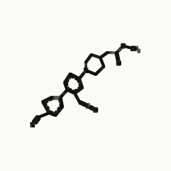 COC(=O)CC1CCN(c2ccc(-c3ccc(C#N)cc3)c(C=C=O)c2)CC1